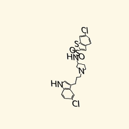 O=S(=O)(NC1CCN(CCCc2c[nH]c3ccc(Cl)cc23)C1)c1cc2ccc(Cl)cc2s1